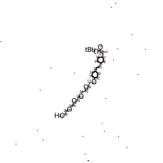 CN(C(=O)OC(C)(C)C)c1ccc(C=Cc2ccc(OCCOCCOCCOCCOCCO)cc2)cc1